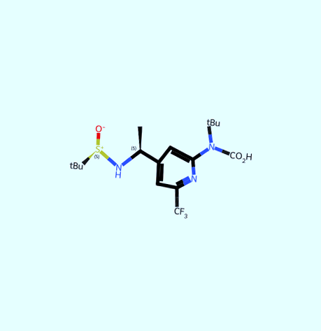 C[C@H](N[S@+]([O-])C(C)(C)C)c1cc(N(C(=O)O)C(C)(C)C)nc(C(F)(F)F)c1